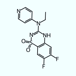 CCN(C1=NS(=O)(=O)c2cc(F)c(F)cc2N1)c1ccncc1